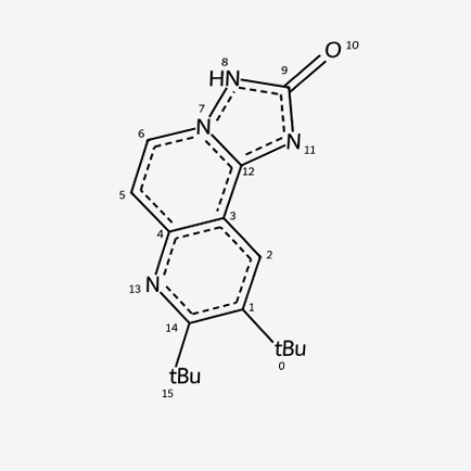 CC(C)(C)c1cc2c(ccn3[nH]c(=O)nc23)nc1C(C)(C)C